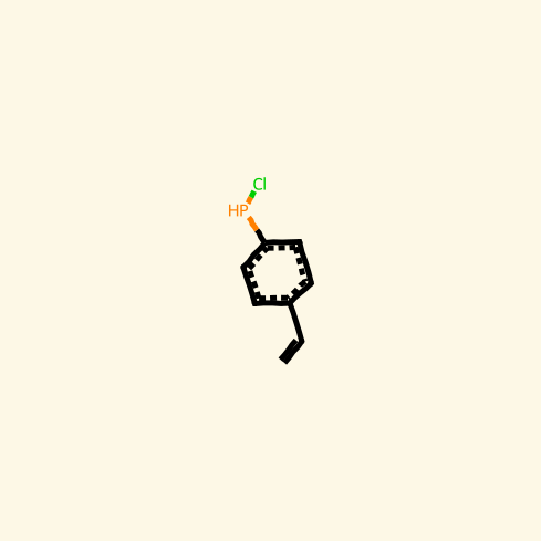 C=Cc1ccc(PCl)cc1